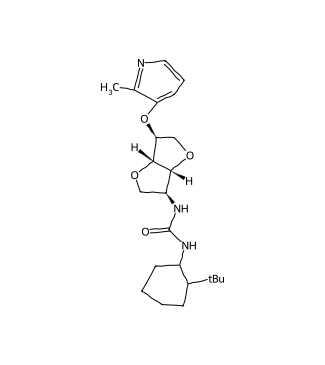 Cc1ncccc1O[C@H]1CO[C@H]2[C@@H]1OC[C@@H]2NC(=O)NC1CCCCC1C(C)(C)C